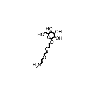 NCCOCCOCCO[C@H]1OC(CO)[C@@H](O)[C@H](O)C1O